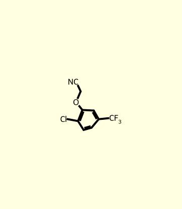 N#CCOc1cc(C(F)(F)F)ccc1Cl